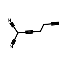 C#CCCC#CC(C#N)C#N